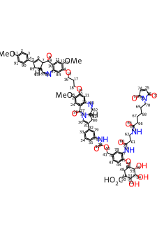 COc1ccc(C2=CC3C(=O)c4cc(OC)c(OCCCOc5cc6c(cc5OC)C(=O)N5C=C(c7cccc(NC(=O)OCc8ccc(O[C@@H]9CC(C(=O)O)[C@@H](O)C(O)C9O)c(NC(=O)CCNC(=O)CCCCCN9C(=O)C=CC9=O)c8)c7)C[C@H]5C=N6)cc4N=C[C@@H]3C2)cc1